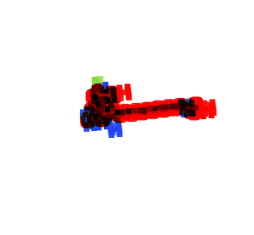 CC[C@@]1(O)C(=O)OCc2c1cc1n(c2=O)Cc2c-1nc1cc(F)c(C)c3c1c2[C@@H](NC(=O)OCc1ccc(NC(=O)[C@H](CCCNC(N)=O)NC(=O)[C@@H](NC(=O)[C@H](CCCCNC(=O)CCOCCOCCOCCOCCOCCOCCOCCOCCOCCOCCOCCOCCn2cc(CC(C(=O)O)C(=O)O)nn2)NC(=O)OC(C)(C)C)C(C)C)cc1)CC3